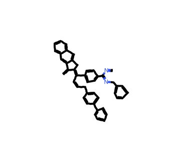 C=N/C(=N\Cc1ccccc1)c1ccc(C(/C=C\Cc2ccc(-c3ccccc3)cc2)=C2\Cc3cc4ccccc4cc3C2=C)cc1